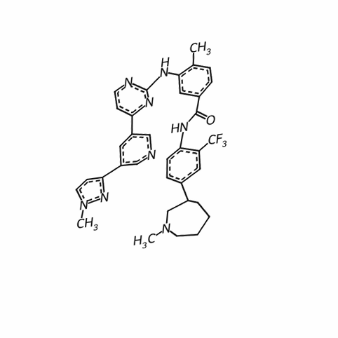 Cc1ccc(C(=O)Nc2ccc(C3CCCCN(C)C3)cc2C(F)(F)F)cc1Nc1nccc(-c2cncc(-c3ccn(C)n3)c2)n1